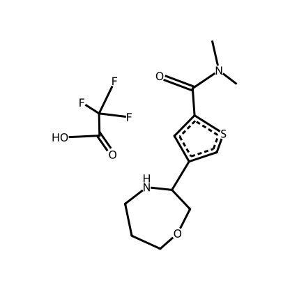 CN(C)C(=O)c1cc(C2COCCCN2)cs1.O=C(O)C(F)(F)F